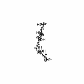 C=C(CCC(=O)N(O)CCCCCNC(=O)C(C)C)NCCCCCN(O)C(=O)CCC(=O)NCCCCCN(O)C(C)=O